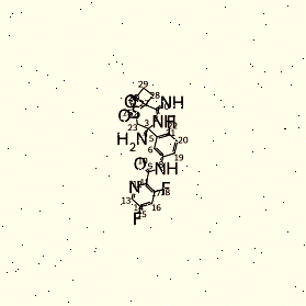 N=C1N[C@](N)(c2cc(NC(=O)c3ncc(F)cc3F)ccc2F)CS(=O)(=O)C12CCC2